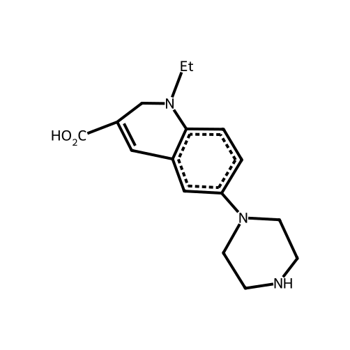 CCN1CC(C(=O)O)=Cc2cc(N3CCNCC3)ccc21